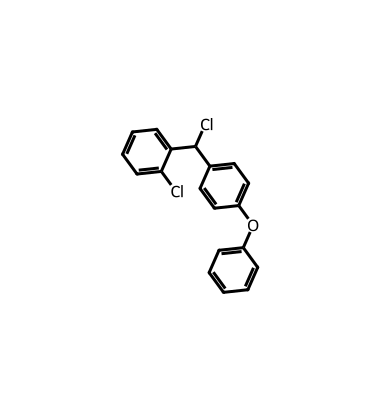 Clc1ccccc1C(Cl)c1ccc(Oc2ccccc2)cc1